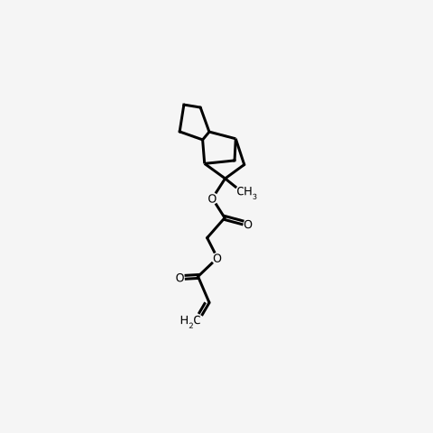 C=CC(=O)OCC(=O)OC1(C)CC2CC1C1CCCC21